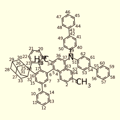 Cc1ccc2c(-c3cc(-c4ccccc4)cc4c3-c3ccccc3C43C4CC5CC(C4)CC3C5)c(C)cc(N(c3ccc(-c4ccccc4)cc3)c3ccc(-c4ccccc4)cc3)c2c1